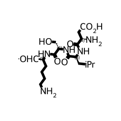 CC(C)C[C@H](NC(=O)[C@@H](N)CC(=O)O)C(=O)N[C@@H](CO)C(=O)N[C@H]([C]=O)CCCCN